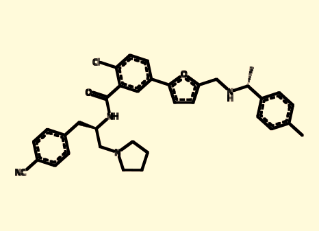 Cc1ccc([C@@H](C)NCc2ccc(-c3ccc(Cl)c(C(=O)N[C@H](Cc4ccc(C#N)cc4)CN4CCCC4)c3)o2)cc1